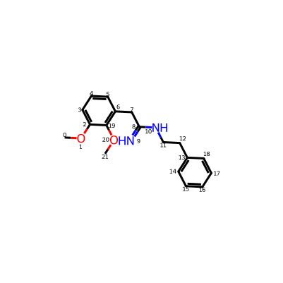 COc1cccc(CC(=N)NCCc2ccccc2)c1OC